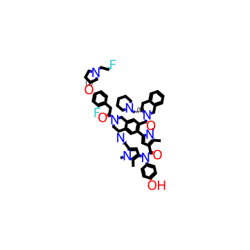 Cc1c(N(C(=O)c2cc(-c3cc4c(cc3C(=O)N3Cc5ccccc5C[C@H]3CN3CCCCC3)CN(C(=O)Cc3ccc(O[C@H]5CCN(CCF)C5)cc3F)CC4)n(C)c2C)c2ccc(O)cc2)cc(C#N)n1C